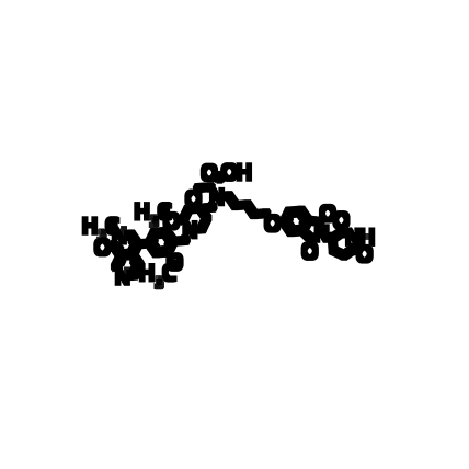 COc1cc(-c2cn(C)c(=O)c3cnccc23)cc(OC)c1CN1CCC2(CC1)CN(CCCCCOc1ccc3c(c1)C(=O)N(C1CCC(=O)NC1=O)C3=O)CCO2.O=CO